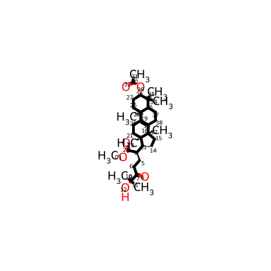 COC(=O)[C@H](CCC(=O)C(C)(C)O)[C@H]1CC[C@@]2(C)C3=C(CC[C@]12C)[C@@]1(C)CC[C@H](OC(C)=O)C(C)(C)C1CC3